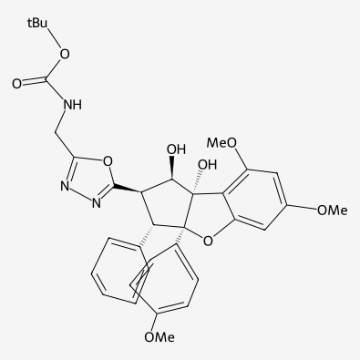 COc1ccc([C@@]23Oc4cc(OC)cc(OC)c4[C@]2(O)[C@H](O)[C@H](c2nnc(CNC(=O)OC(C)(C)C)o2)[C@H]3c2ccccc2)cc1